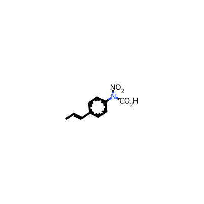 C/C=C/c1ccc(N(C(=O)O)[N+](=O)[O-])cc1